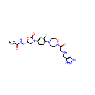 CC(=O)NC[C@H]1CN(c2ccc(N3CCON(C(=O)CNCc4c[nH]nn4)CC3)c(F)c2)C(=O)O1